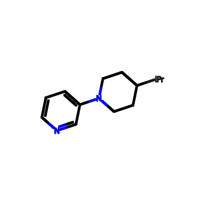 CC(C)C1CCN(c2cccnc2)CC1